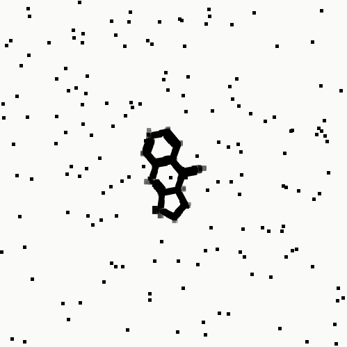 O=C1c2ccncc2N=C2NCCC12